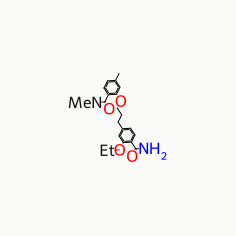 CCOc1cc(CCCOc2cc(C)ccc2C(=O)NC)ccc1C(N)=O